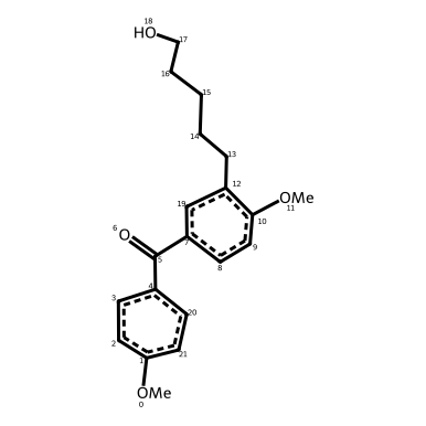 COc1ccc(C(=O)c2ccc(OC)c(CCCCCO)c2)cc1